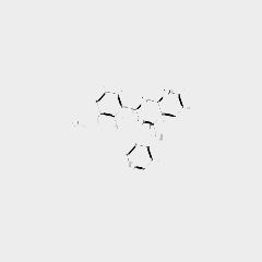 COc1cccc(-c2nc(Nc3ccncc3)c3cccnc3n2)c1F